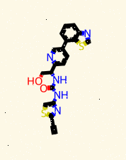 C#Cc1nc(NC(=O)NC(CO)c2ccc(-c3cccc4ncsc34)cn2)cs1